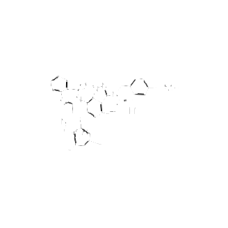 COc1ccc(CN(c2nn(C)c3c(-n4c([C@H](Cc5cc(F)cc(F)c5)NC(=O)O)nc5ccccc5c4=O)ccc(Cl)c23)S(C)(=O)=O)cc1